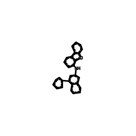 c1ccc(-c2cc(Nc3cccc4c3oc3ccccc34)cc3ccccc23)cc1